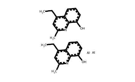 CCc1cc(C)nc2c(O)cccc12.CCc1cc(C)nc2c(O)cccc12.[Al].[Al]